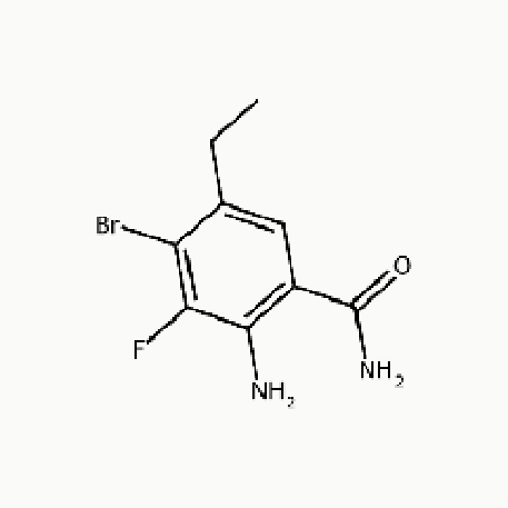 CCc1cc(C(N)=O)c(N)c(F)c1Br